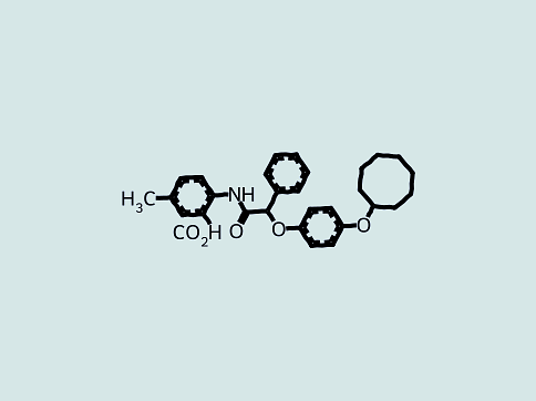 Cc1ccc(NC(=O)C(Oc2ccc(OC3CCCCCCC3)cc2)c2ccccc2)c(C(=O)O)c1